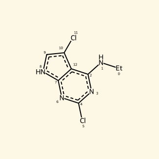 CCNc1nc(Cl)nc2[nH]cc(Cl)c12